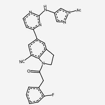 CC(=O)n1cc(Nc2nccc(-c3cc(C#N)c4c(c3)CCN4C(=O)Cc3ccccc3F)n2)cn1